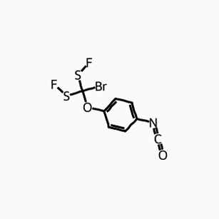 O=C=Nc1ccc(OC(Br)(SF)SF)cc1